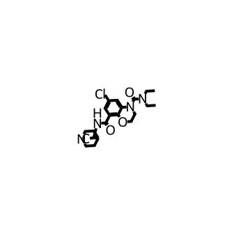 CCN(CC)C(=O)N1CCOc2c(C(=O)NC3CN4CCC3CC4)cc(Cl)cc21